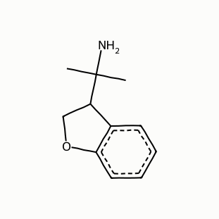 CC(C)(N)C1COc2ccccc21